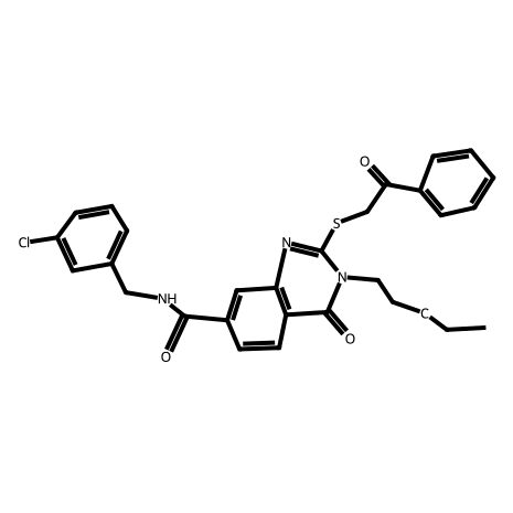 CCCCCn1c(SCC(=O)c2ccccc2)nc2cc(C(=O)NCc3cccc(Cl)c3)ccc2c1=O